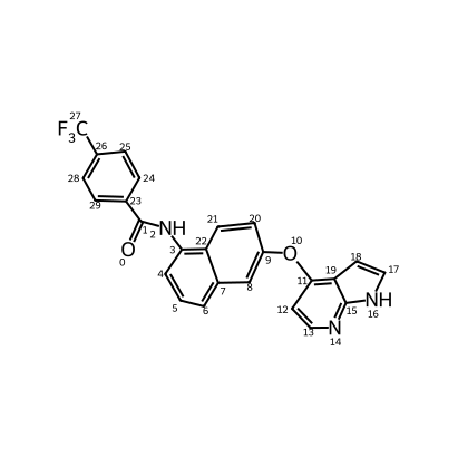 O=C(Nc1cccc2cc(Oc3ccnc4[nH]ccc34)ccc12)c1ccc(C(F)(F)F)cc1